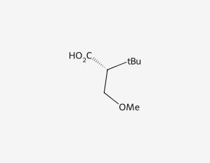 COC[C@H](C(=O)O)C(C)(C)C